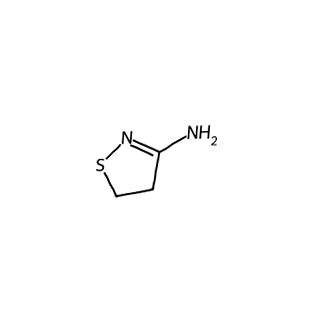 NC1=NSCC1